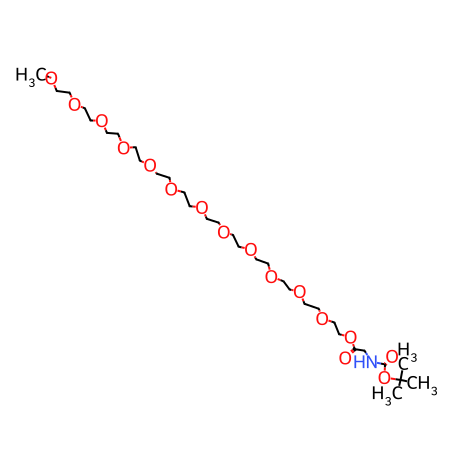 COCCOCCOCCOCCOCCOCCOCCOCCOCCOCCOCCOCCOC(=O)CNC(=O)OC(C)(C)C